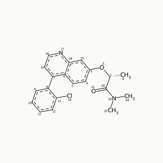 C[C@@H](Oc1ccc2c(-c3ccccc3Cl)ccnc2c1)C(=O)N(C)C